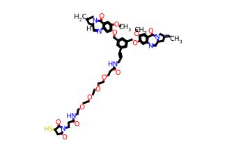 C=C1C[C@H]2C=Nc3cc(OCc4cc(C#CCNC(=O)CCOCCOCCOCCOCCNC(=O)CCN5C(=O)CC(S)C5=O)cc(COc5cc6c(cc5OC)C(=O)N5C/C(=C/C)CC5C=N6)c4)c(OC)cc3C(=O)N2C1